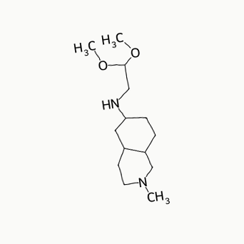 COC(CNC1CCC2CN(C)CCC2C1)OC